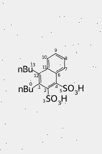 CCCCc1c(S(=O)(=O)O)c(S(=O)(=O)O)c2ccccc2c1CCCC